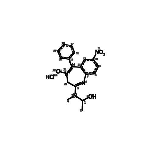 CC(O)N(C)C1=Nc2ccc([N+](=O)[O-])cc2C(c2ccccc2)=[N+]([O-])C1.Cl